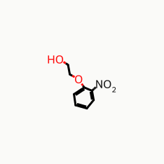 O=[N+]([O-])c1ccccc1OCCO